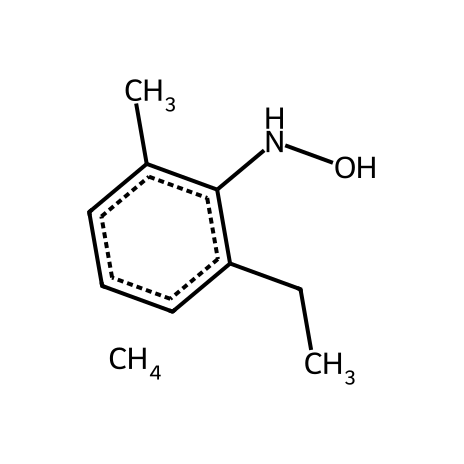 C.CCc1cccc(C)c1NO